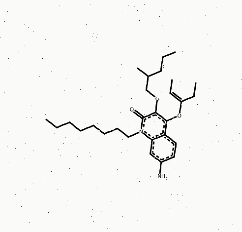 CC=C(CC)Oc1c(OCC(C)CCC)c(=O)n(CCCCCCCC)c2cc(N)ccc12